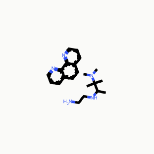 CC(NCCN)C(C)(C)N(C)C.c1cnc2c(c1)ccc1cccnc12